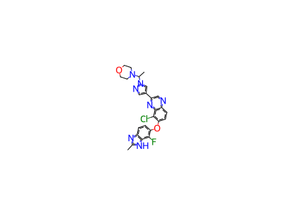 Cc1nc2ccc(Oc3ccc4ncc(-c5cnn(C(C)N6CCOCC6)c5)nc4c3Cl)c(F)c2[nH]1